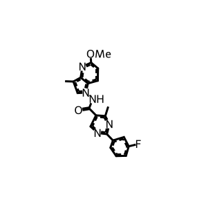 COc1ccc2c(n1)c(C)cn2NC(=O)c1cnc(-c2cccc(F)c2)nc1C